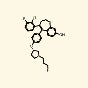 Oc1ccc2c(c1)SCCC(c1cccc(F)c1Cl)=C2c1ccc(O[C@H]2CCN(CCCF)C2)cc1